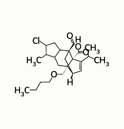 CCCCOC[C@@]12CC3C(C)C(Cl)CC3[C@@]3(C=O)C[C@@H]1C=C(C(C)C)[C@@]23C(=O)O